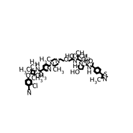 Cc1ncsc1-c1ccc(C(CO)NC(=O)[C@@H]2CC(O)CN2C(=O)[C@@H](NC(=O)COCCN2C[C@@H](C)N(c3ccc(C(=O)N[C@H]4C(C)(C)[C@H](Oc5ccc(C#N)c(Cl)c5)C4(C)C)cn3)[C@@H](C)C2)C(C)(C)C)cc1